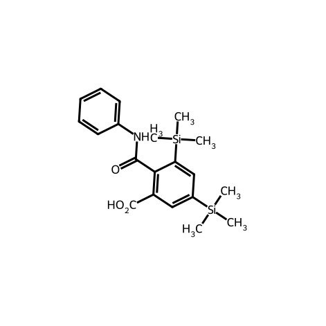 C[Si](C)(C)c1cc(C(=O)O)c(C(=O)Nc2ccccc2)c([Si](C)(C)C)c1